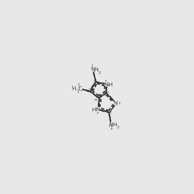 Cc1c(N)[nH]c2nc(N)[nH]c12